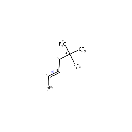 CCC/C=C/CC(C(F)(F)F)(C(F)(F)F)C(F)(F)F